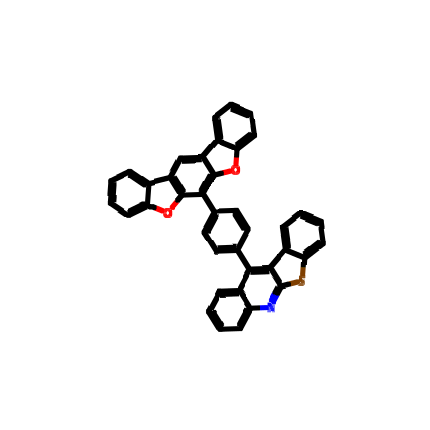 c1ccc2c(-c3ccc(-c4c5oc6ccccc6c5cc5c4oc4ccccc45)cc3)c3c(nc2c1)sc1ccccc13